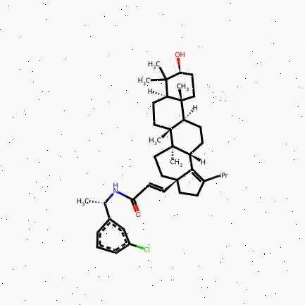 CC(C)C1=C2[C@H]3CC[C@@H]4[C@@]5(C)CC[C@H](O)C(C)(C)[C@@H]5CC[C@@]4(C)[C@]3(C)CC[C@@]2(C=CC(=O)N[C@@H](C)c2cccc(Cl)c2)CC1